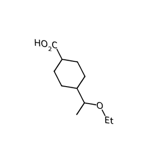 CCOC(C)C1CCC(C(=O)O)CC1